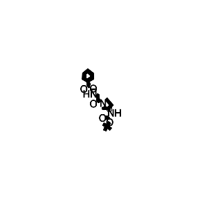 CC(C)(C)OC(=O)N[C@H]1CCN(C(=O)CNOC(=O)c2ccccc2)C1